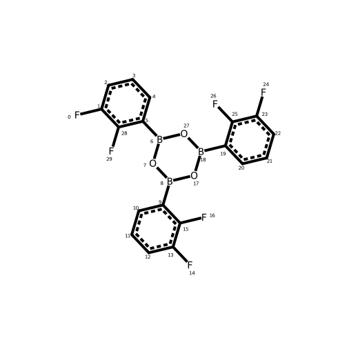 Fc1cccc(B2OB(c3cccc(F)c3F)OB(c3cccc(F)c3F)O2)c1F